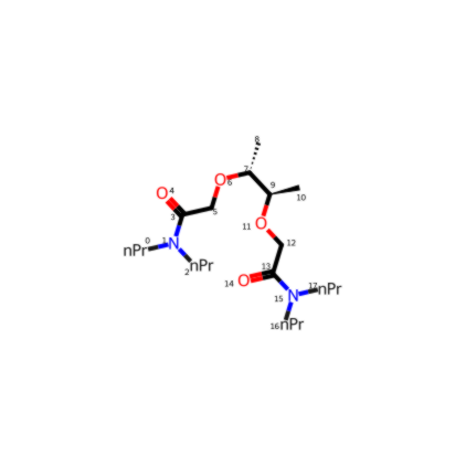 CCCN(CCC)C(=O)CO[C@H](C)[C@@H](C)OCC(=O)N(CCC)CCC